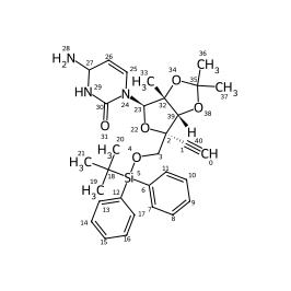 C#C[C@]1(CO[Si](c2ccccc2)(c2ccccc2)C(C)(C)C)O[C@@H](N2C=CC(N)NC2=O)[C@]2(C)OC(C)(C)O[C@@H]21